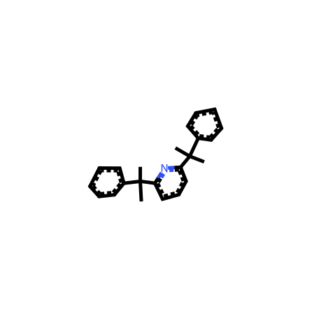 CC(C)(c1ccccc1)c1cccc(C(C)(C)c2ccccc2)n1